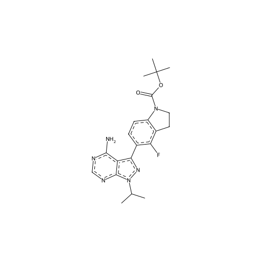 CC(C)n1nc(-c2ccc3c(c2F)CCN3C(=O)OC(C)(C)C)c2c(N)ncnc21